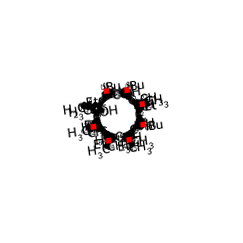 C=CC(C)(CC)C1=CC2CC3C=C([C@@H](C)CC)C=C(CC4C=C([C@@H](C)CC)C=C(CC5=CC(C(C)(C)CC)=CC(CC6=CC([C@@H](C)CC)=CC(CC7=CC(C(C)(C)CC)=CC(CC8C=C(C(C)(C)CC)C=C(CC9C=C(C(C)(C)CC)C=C(CC(=C1)C2O)C9O)C8O)C7O)C6O)C5O)C4O)C3O